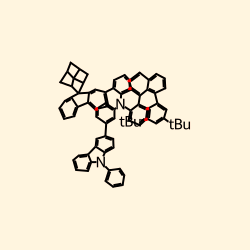 CC(C)(C)c1cc(-c2cccc3cccc(-c4ccccc4N(c4cccc(-c5ccc6c(c5)c5ccccc5n6-c5ccccc5)c4)c4ccccc4-c4ccc5c(c4)C4(c6ccccc6-5)C5CC6CC7CC4C675)c23)cc(C(C)(C)C)c1